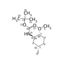 CO[C@@H]1CC[C@H](I)C[C@H]1NC(=O)OC(C)(C)C